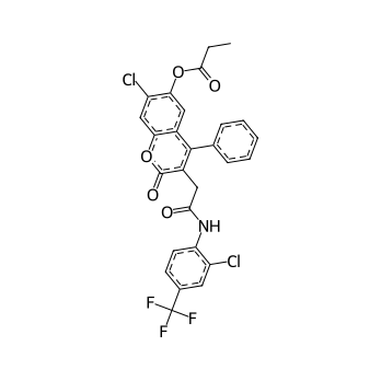 CCC(=O)Oc1cc2c(-c3ccccc3)c(CC(=O)Nc3ccc(C(F)(F)F)cc3Cl)c(=O)oc2cc1Cl